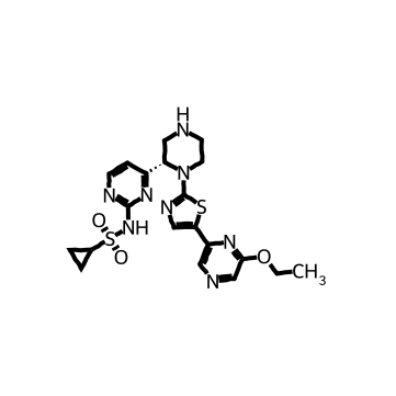 CCOc1cncc(-c2cnc(N3CCNC[C@H]3c3ccnc(NS(=O)(=O)C4CC4)n3)s2)n1